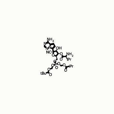 CC(C)C(=O)OCOP(=O)(OCOC(=O)C(C)(C)C)OC[C@H]1O[C@@](C#N)(c2ccc3c(N)ncnn23)[C@H](O)[C@@H]1OC(=O)[C@@H](N)C(C)C